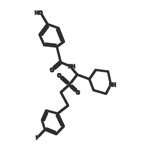 O=C(NC(C1CCNCC1)S(=O)(=O)CCc1ccc(F)cc1)c1ccc(O)cc1